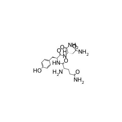 NC(=O)CC[C@H](N)C(=O)N[C@@H](Cc1ccc(O)cc1)C(=O)N[C@@H](CC(N)=O)C(N)=O